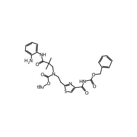 CC(C)(C)OC(=O)N(CCc1nc(C(=O)NC(=O)OCc2ccccc2)cs1)CC(C)(C)C(=O)Nc1ccccc1N